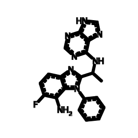 CC(Nc1ncnc2[nH]cnc12)c1nc2ccc(F)c(N)c2n1-c1ccccc1